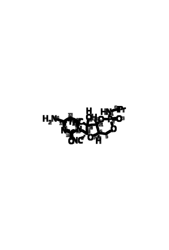 CC(C)NP1(=O)OC[C@H]2O[C@@](C#N)(n3ccc(N)nc3=O)[C@](C)(O)[C@@H]2O1